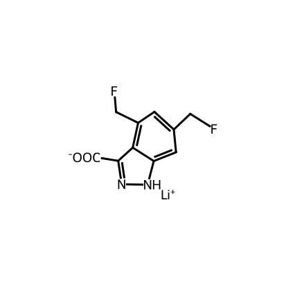 O=C([O-])c1n[nH]c2cc(CF)cc(CF)c12.[Li+]